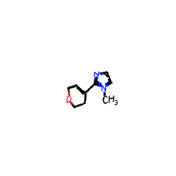 Cn1ccnc1C1=CCOCC1